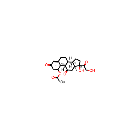 CCCCC(=O)OC1CC(=O)C=C2CC[C@H]3[C@@H]4CC[C@](O)(C(=O)CO)[C@@]4(C)CC(=O)[C@@H]3[C@]21C